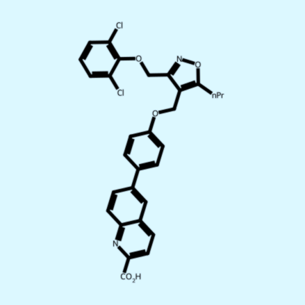 CCCc1onc(COc2c(Cl)cccc2Cl)c1COc1ccc(-c2ccc3nc(C(=O)O)ccc3c2)cc1